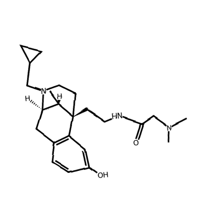 C[C@H]1[C@H]2Cc3ccc(O)cc3[C@@]1(CCNC(=O)CN(C)C)CCN2CC1CC1